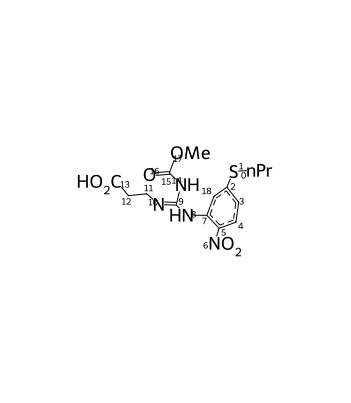 CCCSc1ccc([N+](=O)[O-])c(N/C(=N/CCC(=O)O)NC(=O)OC)c1